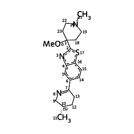 COC1(c2nc3cc(C4=NC[C@@H](C)CC4)ccc3s2)CCN(C)CC1